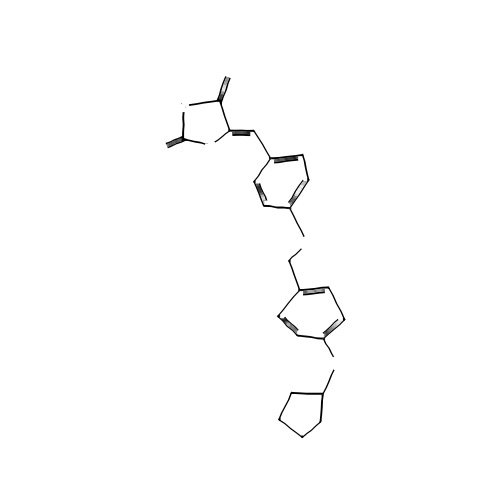 O=C1NC(=S)S/C1=C\c1ccc(OCc2ccc(OC3CCCC3)cc2)cc1